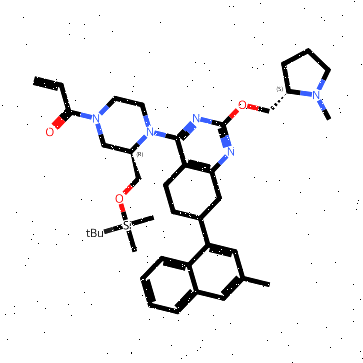 C=CC(=O)N1CCN(c2nc(OC[C@@H]3CCCN3C)nc3c2CCC(c2cc(C)cc4ccccc24)C3)[C@@H](CO[Si](C)(C)C(C)(C)C)C1